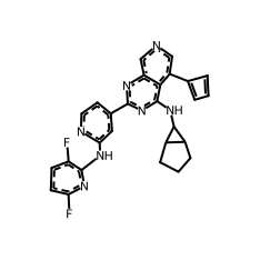 Fc1ccc(F)c(Nc2cc(-c3nc(NC4C5CCCC54)c4c(C5=CC=C5)cncc4n3)ccn2)n1